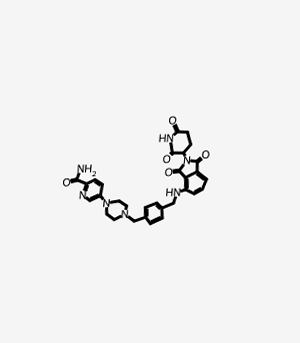 NC(=O)c1ccc(N2CCN(Cc3ccc(CNc4cccc5c4C(=O)N(C4CCC(=O)NC4=O)C5=O)cc3)CC2)cn1